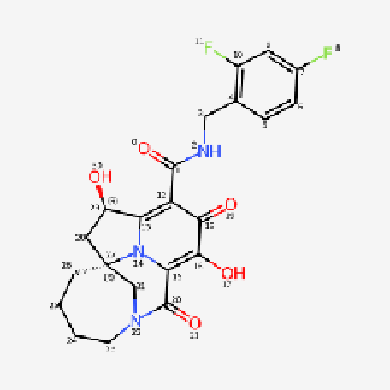 O=C(NCc1ccc(F)cc1F)c1c2n3c(c(O)c1=O)C(=O)N1CCCC[C@@]3(C[C@H]2O)C1